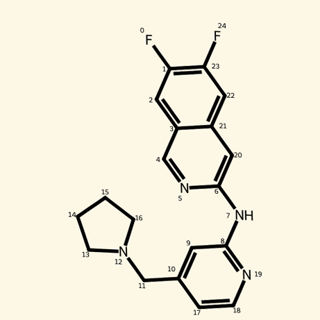 Fc1cc2cnc(Nc3cc(CN4CCCC4)ccn3)cc2cc1F